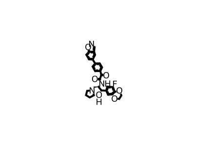 O=C(N[C@H](CN1CCCC1)[C@H](O)c1cc(F)c2c(c1)OCCO2)C(=O)c1ccc(-c2ccc3oncc3c2)cc1